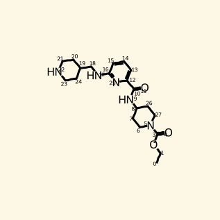 CCOC(=O)N1CCC(NC(=O)c2cccc(NCC3CCNCC3)n2)CC1